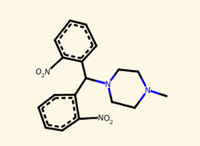 CN1CCN(C(c2ccccc2[N+](=O)[O-])c2ccccc2[N+](=O)[O-])CC1